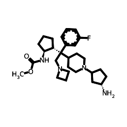 COC(=O)N[C@H]1CCC[C@@H]1C(CN1CCC1)(c1cccc(F)c1)C1CCN(C2CC[C@H](N)C2)CC1